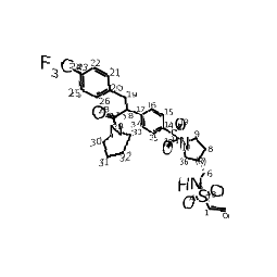 C=CS(=O)(=O)NC[C@H]1CCN(S(=O)(=O)c2ccc(C(Cc3ccc(C(F)(F)F)cc3)C(=O)N3CCCC3)cc2)C1